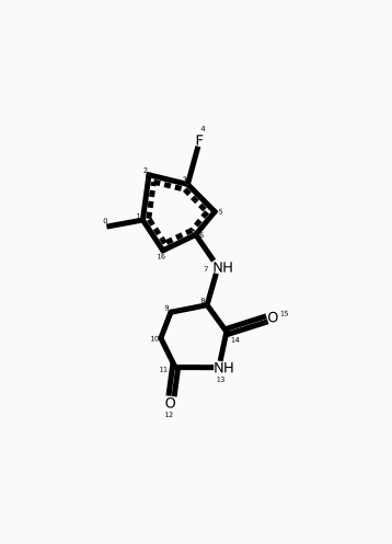 Cc1cc(F)cc(NC2CCC(=O)NC2=O)c1